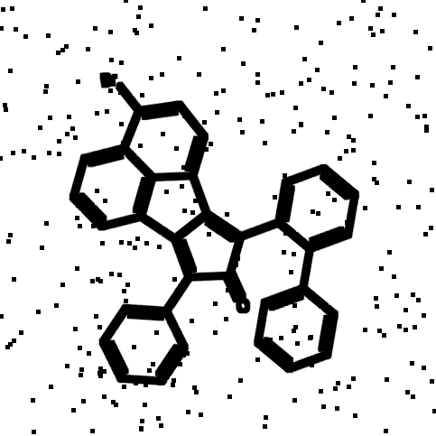 O=C1C(c2ccccc2)=C2C(=C1c1ccccc1-c1ccccc1)c1ccc(Br)c3cccc2c13